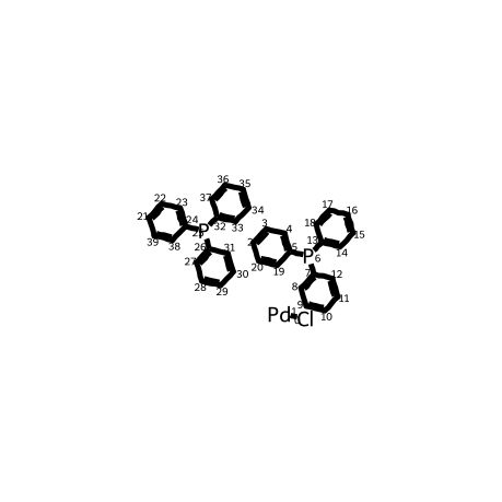 [Cl][Pd].c1ccc(P(c2ccccc2)c2ccccc2)cc1.c1ccc(P(c2ccccc2)c2ccccc2)cc1